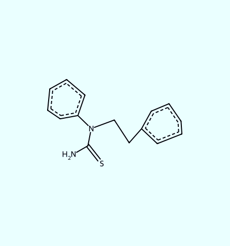 NC(=S)N(CCc1ccccc1)c1ccccc1